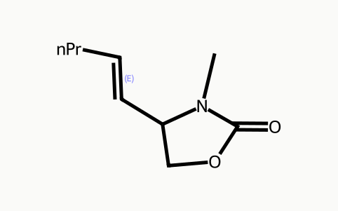 CCC/C=C/C1COC(=O)N1C